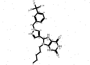 CCCCCN1c2[nH]c(=O)[nH]c(=O)c2NC1c1cnn(Cc2cccc(C(F)(F)F)c2)c1